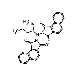 C=CC(CCC)N(N1C(=O)c2ccc3ccccc3c2C1=O)N1C(=O)c2ccc3ccccc3c2C1=O